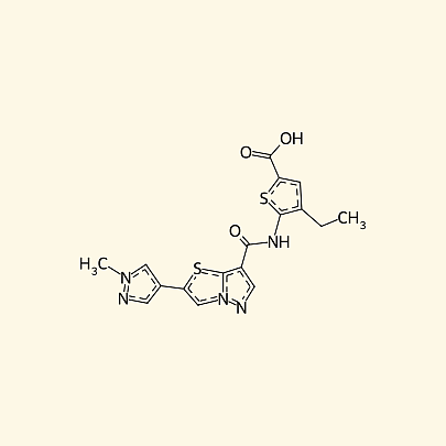 CCc1cc(C(=O)O)sc1NC(=O)c1cnn2cc(-c3cnn(C)c3)sc12